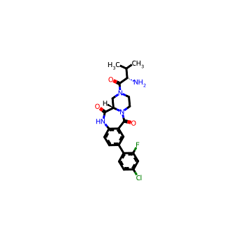 CC(C)[C@H](N)C(=O)N1CCN2C(=O)c3cc(-c4ccc(Cl)cc4F)ccc3NC(=O)[C@@H]2C1